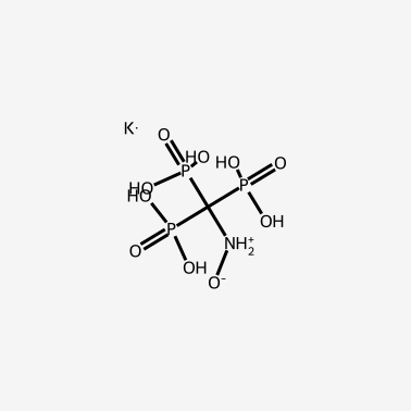 O=P(O)(O)C([NH2+][O-])(P(=O)(O)O)P(=O)(O)O.[K]